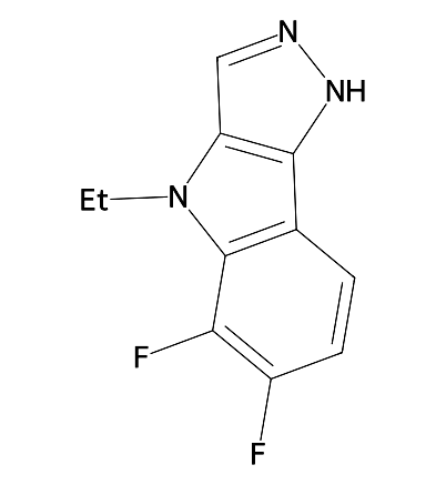 CCn1c2cn[nH]c2c2ccc(F)c(F)c21